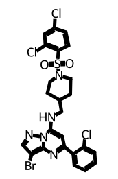 O=S(=O)(c1ccc(Cl)cc1Cl)N1CCC(CNc2cc(-c3ccccc3Cl)nc3c(Br)cnn23)CC1